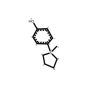 CS1(c2ccc(O)cc2)CCCC1